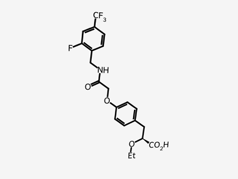 CCO[C@@H](Cc1ccc(OCC(=O)NCc2ccc(C(F)(F)F)cc2F)cc1)C(=O)O